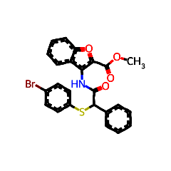 COC(=O)c1oc2ccccc2c1NC(=O)C(Sc1ccc(Br)cc1)c1ccccc1